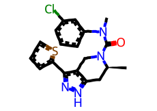 C[C@H]1Cc2[nH]nc(-c3cccs3)c2CN1C(=O)N(C)c1cccc(Cl)c1